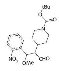 COC(c1ccccc1[N+](=O)[O-])C(C=O)C1CCN(C(=O)OC(C)(C)C)CC1